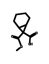 COC(=O)C1(C(=O)O)C2CCCCC21